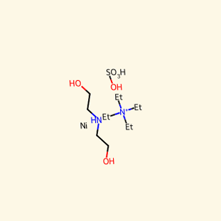 CC[N+](CC)(CC)CC.O=S(=O)(O)O.OCCNCCO.[Ni]